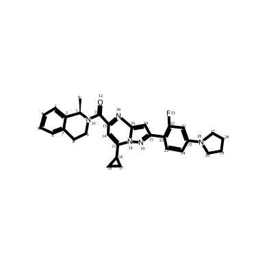 C[C@@H]1c2ccccc2CCN1C(=O)c1cc(C2CC2)n2nc(-c3ccc(N4CCCC4)cc3F)cc2n1